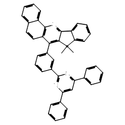 CC1(C)c2ccccc2-c2nc3c(ccc4ccccc43)c(-c3cccc(-c4nc(-c5ccccc5)cc(-c5ccccc5)n4)c3)c21